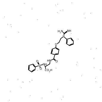 N=C(N)N(CCOc1ccc(C(=O)NCC(NS(=O)(=O)c2ccccc2)C(=O)O)cc1)c1ccccc1